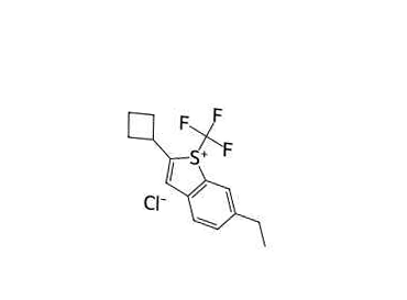 CCc1ccc2cc(C3CCC3)[s+](C(F)(F)F)c2c1.[Cl-]